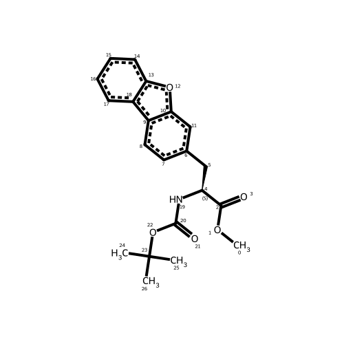 COC(=O)[C@H](Cc1ccc2c(c1)oc1ccccc12)NC(=O)OC(C)(C)C